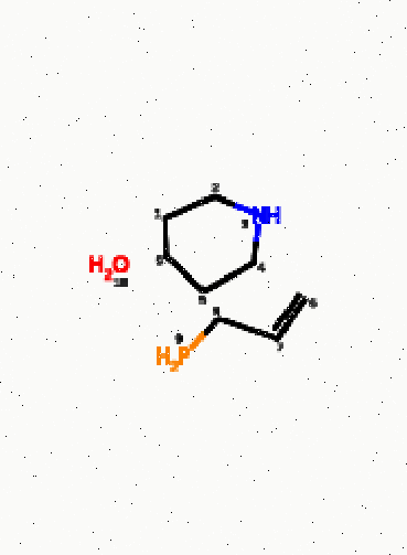 C1CCNCC1.C=CCP.O